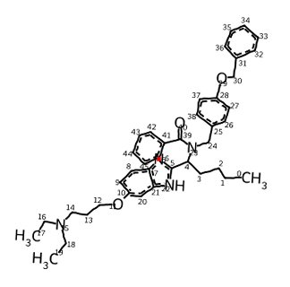 CCCCC(c1nc2ccc(OCCCN(CC)CC)cc2[nH]1)N(Cc1ccc(OCc2ccccc2)cc1)C(=O)c1ccccc1